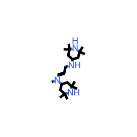 CN(C=CCNC1CC(C)(C)NC(C)(C)C1)C1CC(C)(C)NC(C)(C)C1